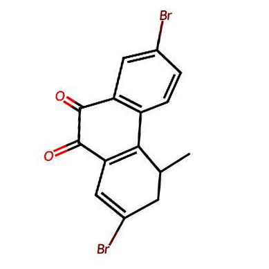 CC1CC(Br)=CC2=C1c1ccc(Br)cc1C(=O)C2=O